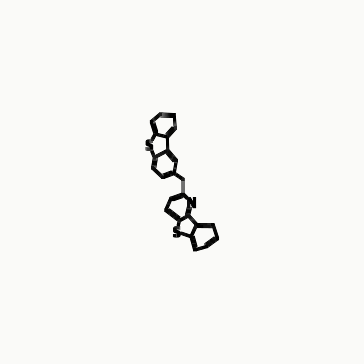 c1ccc2c(c1)sc1ccc(Cc3ccc4sc5ccccc5c4n3)cc12